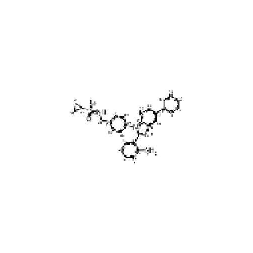 Nc1ncccc1-c1nc2cc(-c3cccnc3)cnc2n1-c1ccc(CNS(=O)(=O)C2CC2)cc1